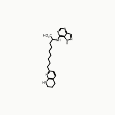 O=C(O)C(CCCCCCCc1ccc2c(n1)NCCC2)Nc1ncnc2cn[nH]c12